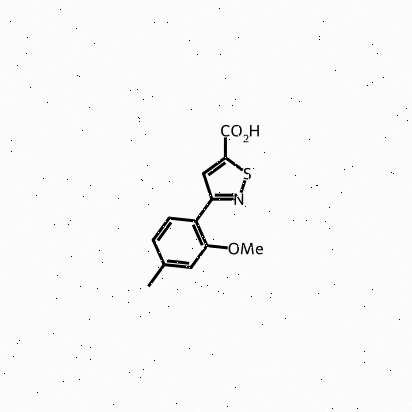 COc1cc(C)ccc1-c1cc(C(=O)O)sn1